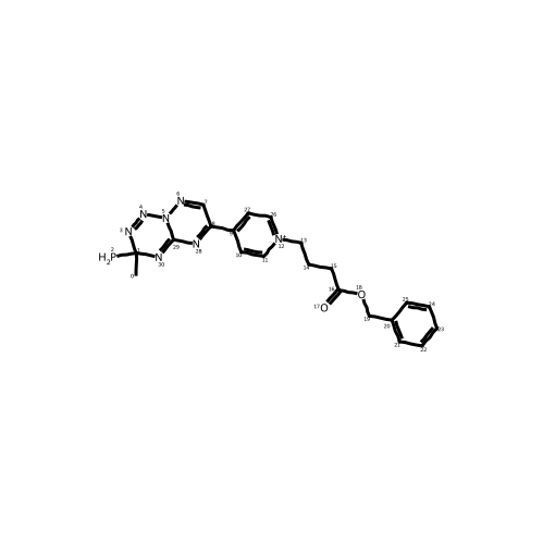 CC1(P)N=NN2N=CC(c3cc[n+](CCCC(=O)OCc4ccccc4)cc3)=NC2=N1